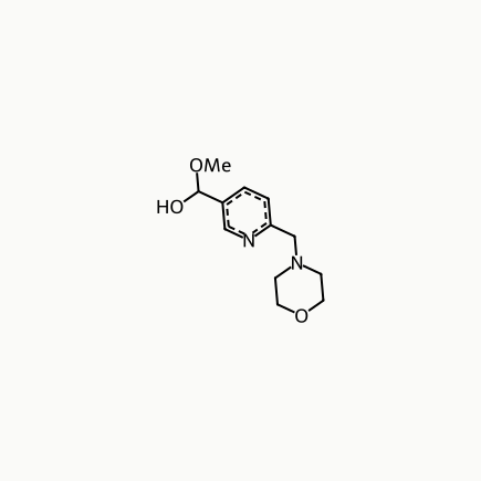 COC(O)c1ccc(CN2CCOCC2)nc1